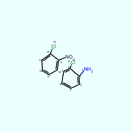 Nc1ccccc1Cl.O=[N+]([O-])c1ccccc1Cl